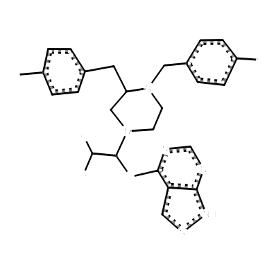 CC(O)C(Sc1ncnc2[nH]ncc12)N1CCN(Cc2ccc(F)cc2)C(Cc2ccc(F)cc2)C1